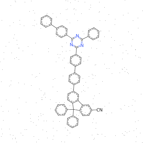 N#Cc1ccc2c(c1)-c1cc(-c3ccc(-c4ccc(-c5nc(-c6ccccc6)nc(-c6ccc(-c7ccccc7)cc6)n5)cc4)cc3)ccc1C2(c1ccccc1)c1ccccc1